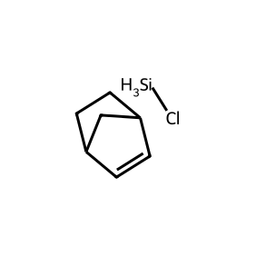 C1=CC2CCC1C2.[SiH3]Cl